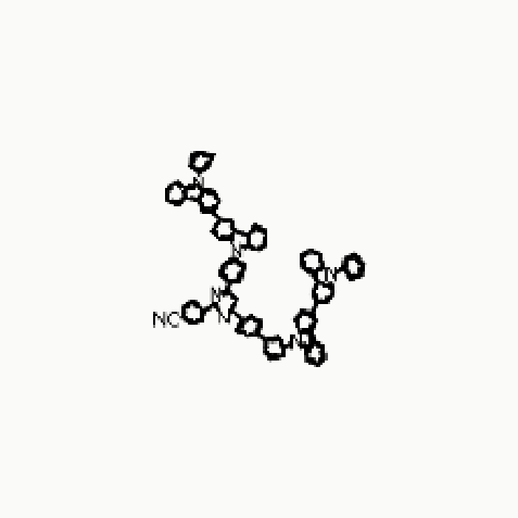 N#Cc1ccc(-c2nc(-c3ccc(-c4cccc(-n5c6ccccc6c6cc(-c7ccc8c(c7)c7ccccc7n8-c7ccccc7)ccc65)c4)cc3)cc(-c3ccc(-n4c5ccccc5c5cc(-c6ccc7c(c6)c6ccccc6n7-c6ccccc6)ccc54)cc3)n2)cc1